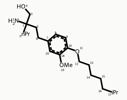 CCCC(N)(CO)CCc1ccc(OCCCCCC(C)C)c(OC)c1